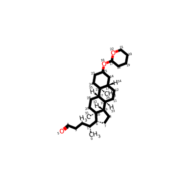 C[C@H](CCC=O)[C@H]1CC[C@H]2[C@@H]3CC[C@H]4CC(OC5CCCCO5)CC[C@]4(C)[C@H]3CC[C@]12C